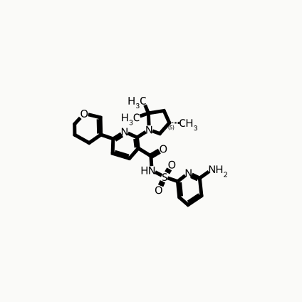 C[C@@H]1CN(c2nc(C3=COCCC3)ccc2C(=O)NS(=O)(=O)c2cccc(N)n2)C(C)(C)C1